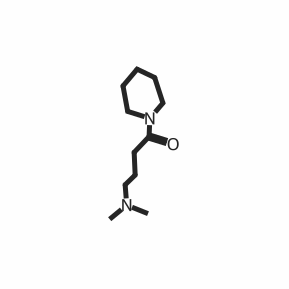 CN(C)CCCC(=O)N1CCCCC1